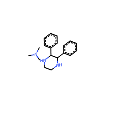 CN(C)C.c1ccc(C2NCCNC2c2ccccc2)cc1